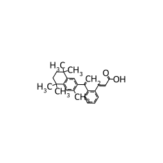 C=C(c1cc2c(cc1C)C(C)(C)CCC2(C)C)c1ccccc1C=CC(=O)O